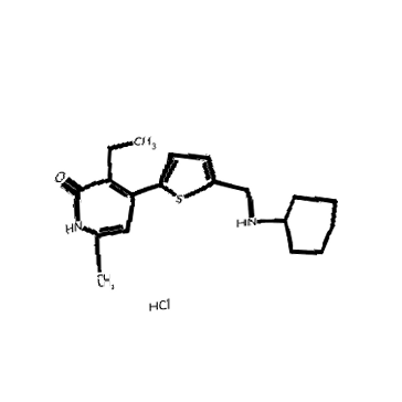 CCc1c(-c2ccc(CNC3CCCCC3)s2)cc(C)[nH]c1=O.Cl